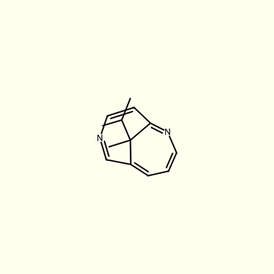 CC(C)C1(C)C2=CC=CN=C1C=CN=C2